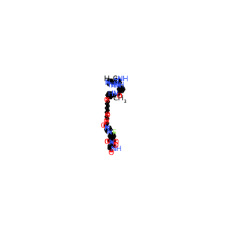 C[C@@H](NC(=O)c1cccc(NCC(=N)N(C)C(=N)c2ccncn2)c1)c1cccc(OCCCCCCOCCOCC(=O)N2CCN(c3cc4c(cc3F)C(=O)N(C3CCC(=O)NC3=O)C4=O)CC2)c1